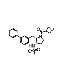 CS(=O)(=O)N[C@H]1CCN(C(=O)C2COC2)[C@H]1Cc1cccc(-c2ccccc2)c1